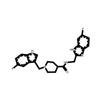 O=C(NCc1nc2ccc(F)cc2[nH]1)C1CCN(Cc2c[nH]c3ccc(F)cc23)CC1